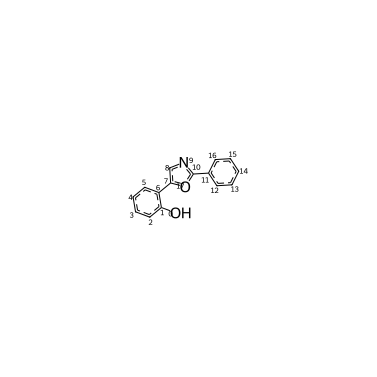 Oc1ccccc1-c1cnc(-c2ccccc2)o1